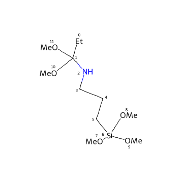 CCC(NCCC[Si](OC)(OC)OC)(OC)OC